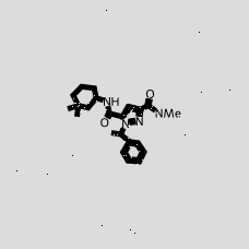 CNC(=O)c1cc(C(=O)NC2CCCC(C)(C)C2)n(C(C)c2ccccc2)n1